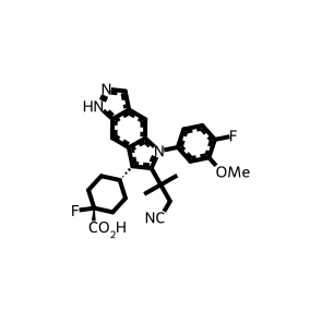 COc1cc(-n2c(C(C)(C)CC#N)c([C@H]3CC[C@](F)(C(=O)O)CC3)c3cc4[nH]ncc4cc32)ccc1F